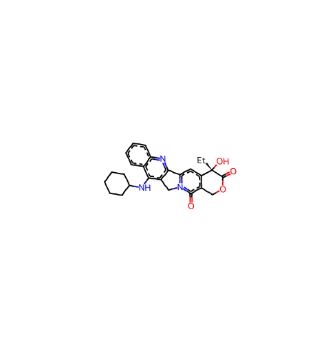 CC[C@@]1(O)C(=O)OCc2c1cc1n(c2=O)Cc2c-1nc1ccccc1c2NC1CCCCC1